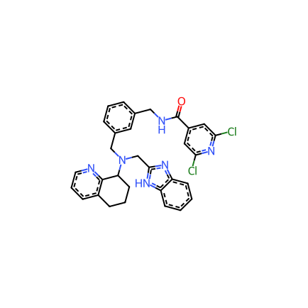 O=C(NCc1cccc(CN(Cc2nc3ccccc3[nH]2)C2CCCc3cccnc32)c1)c1cc(Cl)nc(Cl)c1